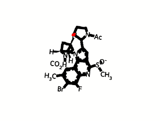 CC(=O)N1CCCC1c1cc2c([S+](C)[O-])nc3c(F)c(Br)c(C)cc3c2n1[C@H]1[C@@H]2C[C@H]1N(C(=O)O)C2